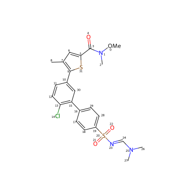 CON(C)C(=O)c1cc(C)c(-c2ccc(Cl)c(-c3ccc(S(=O)(=O)N=CN(C)C)cc3)c2)s1